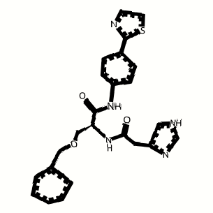 O=C(Cc1c[nH]cn1)N[C@@H](COCc1ccccc1)C(=O)Nc1ccc(-c2nccs2)cc1